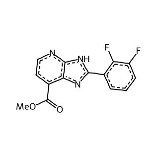 COC(=O)c1ccnc2[nH]c(-c3cccc(F)c3F)nc12